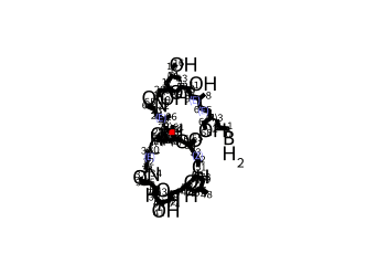 BCCC[C@H](/C=C/C(C)=C/[C@@H](O)[C@H]1C[C@@H](CO)C[C@@](O)(Cc2nc(/C=C(\C)[C@@H]3O[C@@H]4C/C=C/c5nc(co5)[C@H]5C[C@H](O)C[C@@H](C[C@H]6CC(=C)C[C@H](C/C=C\C(=O)O[C@@H]([C@H]4C)[C@H]3C)O6)O5)co2)O1)CO